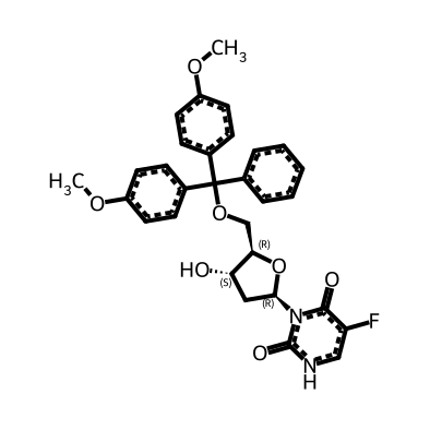 COc1ccc(C(OC[C@H]2O[C@@H](n3c(=O)[nH]cc(F)c3=O)C[C@@H]2O)(c2ccccc2)c2ccc(OC)cc2)cc1